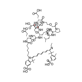 CC\N=C(/C=C/C=C/C=C/C=C1/N(CCCCCC(=O)N[C@H](CCC(=O)O)C(=O)N[C@H](CCC(=O)O)C(=O)N[C@H](CCC(=O)O)C(=O)N[C@H](CCC(=O)O)C(=O)N[C@H](CCC(=O)O)C(=O)NCCOCC(=O)N2CCC[C@H]2C(=O)N[C@@H](CC(C)C)C(C)=O)c2ccc(S(=O)(=O)O)cc2C1(C)C)C(C)(C)c1cc(S(=O)(=O)O)ccc1C